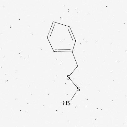 SSSCc1ccccc1